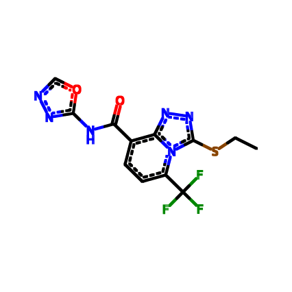 CCSc1nnc2c(C(=O)Nc3nnco3)ccc(C(F)(F)F)n12